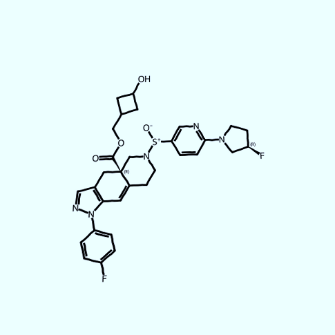 O=C(OCC1CC(O)C1)[C@]12Cc3cnn(-c4ccc(F)cc4)c3C=C1CCN([S+]([O-])c1ccc(N3CC[C@@H](F)C3)nc1)C2